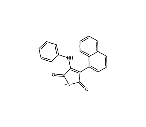 O=C1NC(=O)C(c2cccc3ccccc23)=C1Nc1ccccc1